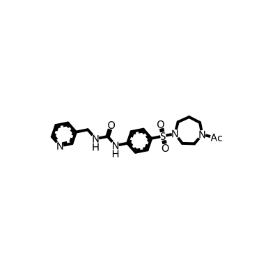 CC(=O)N1CCCN(S(=O)(=O)c2ccc(NC(=O)NCc3cccnc3)cc2)CC1